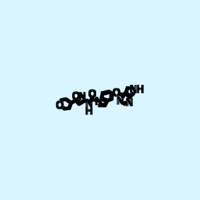 O=C(Nc1cc(C2CCOCC2)on1)n1ccc2cc(Oc3ncnc4c3CNC4)ccc21